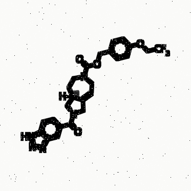 O=C(OCc1ccc(OCC(F)(F)F)cc1)N1CC=C2CN(C(=O)c3ccc4[nH]nnc4c3)C[C@H]2CC1